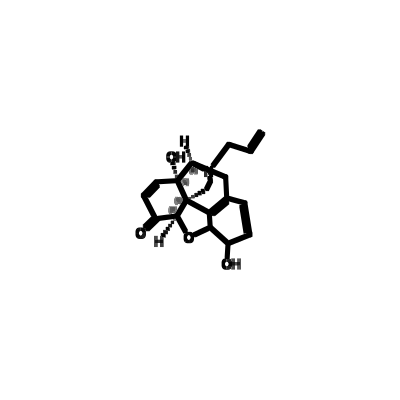 C=CCN1CC[C@]23C4=C5C=CC(O)C4O[C@H]2C(=O)C=C[C@@]3(O)[C@H]1C5